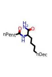 CCCCCCCCCCCCCCC(NC(=O)CCCCC)C(N)=O